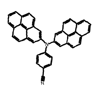 N#Cc1ccc(N(c2cc3ccc4cccc5ccc(c2)c3c45)c2cc3ccc4cccc5ccc(c2)c3c45)cc1